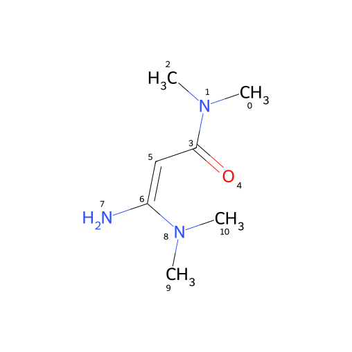 CN(C)C(=O)C=C(N)N(C)C